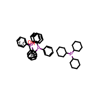 C1CCC(P(C2CCCCC2)C2CCCCC2)CC1.CC(O)[C]12[CH]3[CH]4[CH]5[C]1(P(c1ccccc1)c1ccccc1)[Fe]43521678[CH]2[CH]1[CH]6[C]7(P(c1ccccc1)c1ccccc1)[CH]28